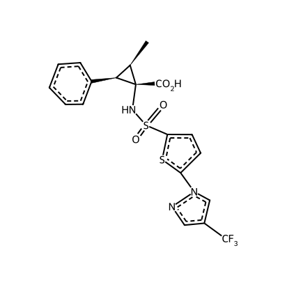 C[C@@H]1[C@H](c2ccccc2)[C@]1(NS(=O)(=O)c1ccc(-n2cc(C(F)(F)F)cn2)s1)C(=O)O